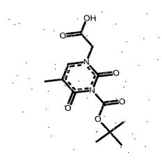 Cc1cn(CC(=O)O)c(=O)n(C(=O)OC(C)(C)C)c1=O